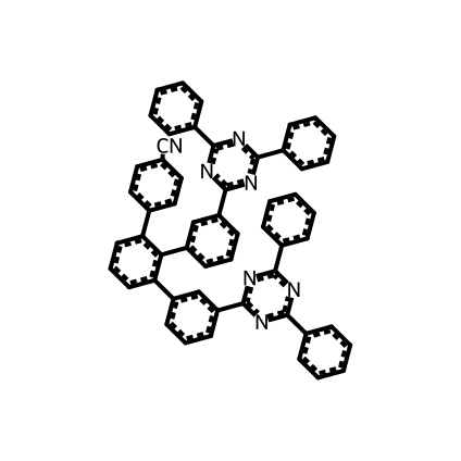 N#Cc1ccc(-c2cccc(-c3cccc(-c4nc(-c5ccccc5)nc(-c5ccccc5)n4)c3)c2-c2cccc(-c3nc(-c4ccccc4)nc(-c4ccccc4)n3)c2)cc1